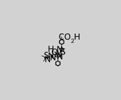 Cc1nc(N/N=C2\C(=O)N(c3nc(-c4ccc(C(=O)O)cc4)cs3)N=C2c2ccccc2)sc1C